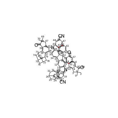 CC1(C)Cc2c(ccc3c4c5c(cc6c7c8c(c(C#N)cc7n(c23)c64)C2CC3CC(C2)CC8C3)-c2cc3c4c6c(c7c(c4n4c8cc(C#N)ccc8c(c2C52c5ccccc5Oc5ccccc52)c34)CC(C)(C)C7=O)C2CC3CC4CC6C34C2)C1=O